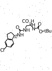 CC(C)(C)OC(=O)NC(CNC(=O)N[C@@H]1CCc2cc(Cl)ccc21)C(=O)O